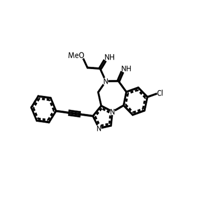 COCC(=N)N1Cc2c(C#Cc3ccccc3)ncn2-c2ccc(Cl)cc2C1=N